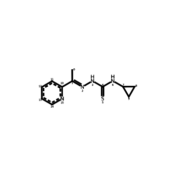 C/C(=N\NC(=S)NC1CC1)c1ccccn1